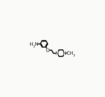 CN1CCN(CCOc2cccc(N)c2)CC1